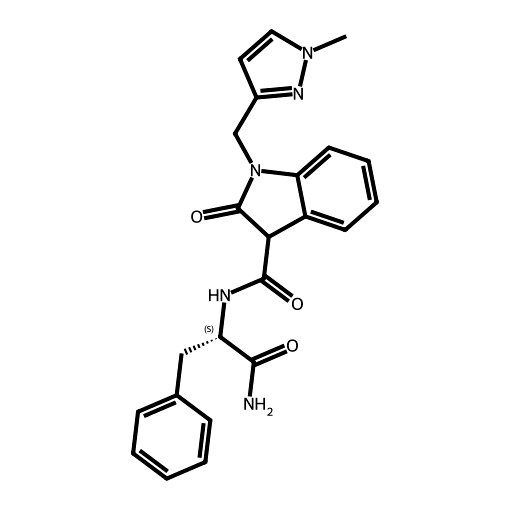 Cn1ccc(CN2C(=O)C(C(=O)N[C@@H](Cc3ccccc3)C(N)=O)c3ccccc32)n1